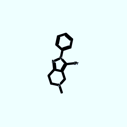 CC(C)c1c2c(nn1-c1ccccc1)CCN(C)C2